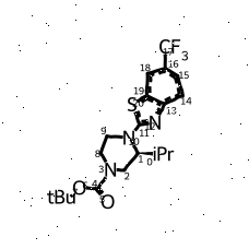 CC(C)[C@H]1CN(C(=O)OC(C)(C)C)CCN1c1nc2ccc(C(F)(F)F)cc2s1